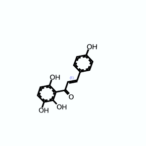 O=C(/C=C/c1ccc(O)cc1)c1c(O)ccc(O)c1O